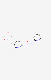 N#Cc1cnc(NC(=O)Nc2ccc(CN3CCOCC3=O)c(C=O)n2)cc1Cl